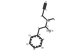 C#CCN(C)C([18F])Cc1ccccc1